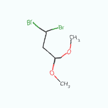 COC(CC(Br)Br)OC